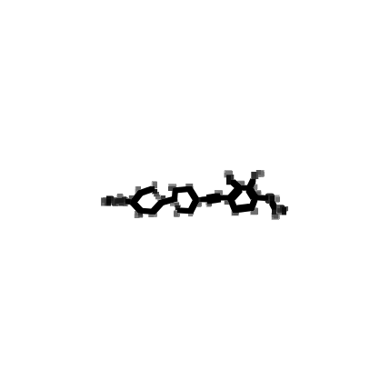 CCCCC[C@H]1CC[C@H]([C@H]2CC[C@H](C#Cc3ccc(OCCC)c(F)c3F)CC2)CC1